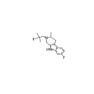 CC1Cc2c([nH]c3cc(F)ccc23)CN1CC(C)(C)F